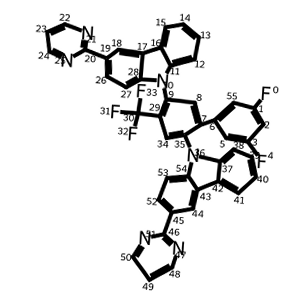 Fc1cc(F)cc(-c2cc(-n3c4ccccc4c4cc(-c5ncccn5)ccc43)c(C(F)(F)F)cc2-n2c3ccccc3c3cc(-c4ncccn4)ccc32)c1